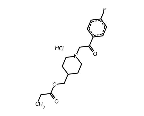 CCC(=O)OCC1CCN(CC(=O)c2ccc(F)cc2)CC1.Cl